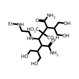 CCNCCNC(C(C(N)=O)C(CO)CO)C(C(=O)O)(C(=O)O)C(C(N)=O)C(CO)CO